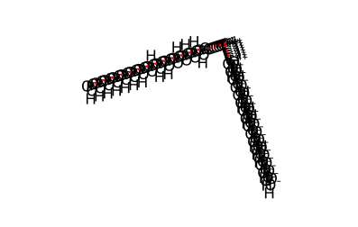 O=[PH]([O-])[O-].O=[PH]([O-])[O-].O=[PH]([O-])[O-].O=[PH]([O-])[O-].O=[PH]([O-])[O-].O=[PH]([O-])[O-].O=[PH]([O-])[O-].O=[PH]([O-])[O-].O=[PH]([O-])[O-].O=[PH]([O-])[O-].O=[PH]([O-])[O-].O=[PH]([O-])[O-].O=[PH]([O-])[O-].O=[PH]([O-])[O-].O=[PH]([O-])[O-].O=[PH]([O-])[O-].O=[PH]([O-])[O-].O=[PH]([O-])[O-].O=[PH]([O-])[O-].O=[PH]([O-])[O-].O=[PH]([O-])[O-].O=[PH]([O-])[O-].O=[PH]([O-])[O-].O=[PH]([O-])[O-].O=[PH]([O-])[O-].O=[PH]([O-])[O-].O=[PH]([O-])[O-].O=[PH]([O-])[O-].O=[PH]([O-])[O-].O=[PH]([O-])[O-].[C+4].[C+4].[C+4].[C+4].[C+4].[C+4].[C+4].[C+4].[C+4].[C+4].[C+4].[C+4].[C+4].[C+4].[C+4]